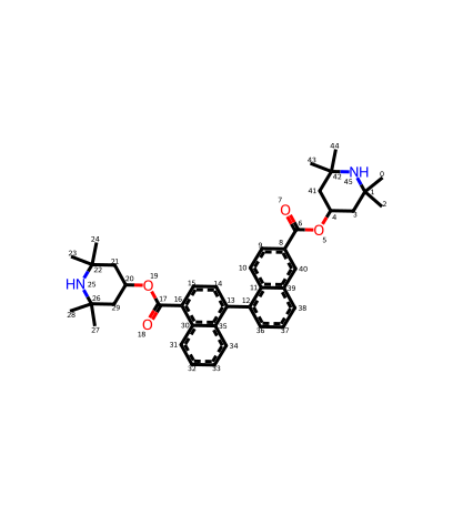 CC1(C)CC(OC(=O)c2ccc3c(-c4ccc(C(=O)OC5CC(C)(C)NC(C)(C)C5)c5ccccc45)cccc3c2)CC(C)(C)N1